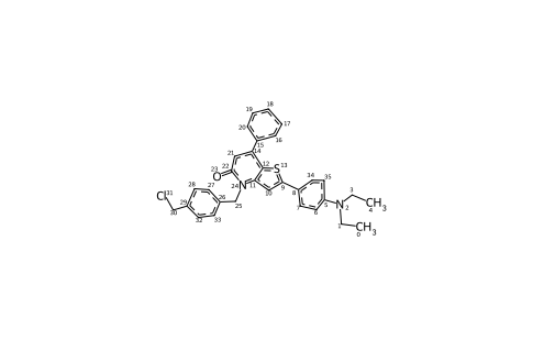 CCN(CC)c1ccc(-c2cc3c(s2)c(-c2ccccc2)cc(=O)n3Cc2ccc(CCl)cc2)cc1